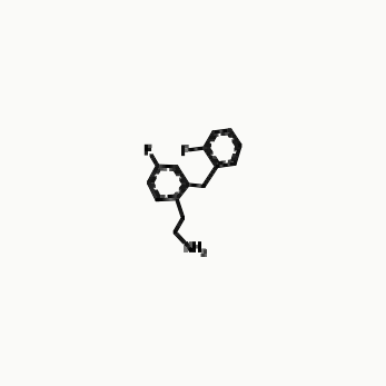 NCCc1ccc(F)cc1Cc1ccccc1F